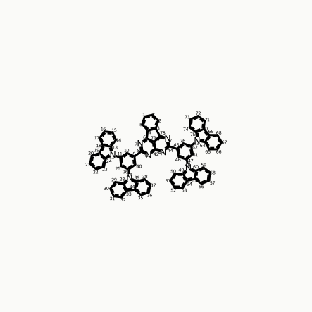 c1ccc2c(c1)-c1nc(-c3cc(-n4c5ccccc5c5ccccc54)cc(-n4c5ccccc5c5ccccc54)c3)nc3nc(-c4cc(-n5c6ccccc6c6ccccc65)cc(-n5c6ccccc6c6ccccc65)c4)nc-2c13